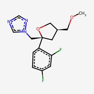 COC[C@@H]1CO[C@@](Cn2cncn2)(c2ccc(F)cc2F)C1